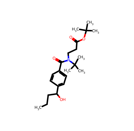 CCCC(O)c1ccc(C(=O)N(CCC(=O)OC(C)(C)C)C(C)(C)C)cc1